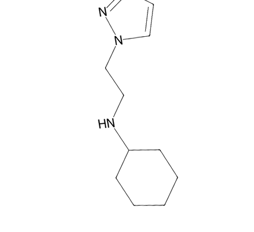 c1cnn(CCNC2CCCCC2)c1